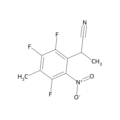 Cc1c(F)c(F)c(C(C)C#N)c([N+](=O)[O-])c1F